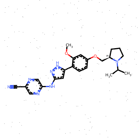 COc1cc(OC[C@H]2CCCN2C(C)C)ccc1-c1cc(Nc2cnc(C#N)cn2)n[nH]1